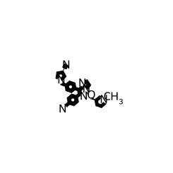 CN1CCC[C@@H](COc2nc(-c3ccc(C#N)cc3)c(-c3ccc(CN4CC[C@H](C#N)C4)cc3)c3nccn23)C1